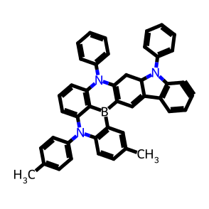 Cc1ccc(N2c3ccc(C)cc3B3C4=C(CC5C(=C4)c4ccc#cc4N5c4ccccc4)N(c4ccccc4)c4cccc2c43)cc1